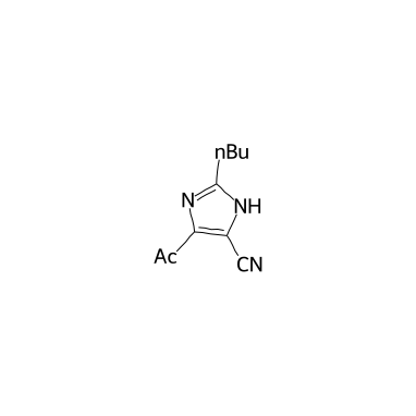 CCCCc1nc(C(C)=O)c(C#N)[nH]1